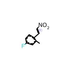 Cc1cc(F)ccc1/C=C/[N+](=O)[O-]